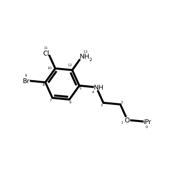 CC(C)OCCNc1ccc(Br)c(Cl)c1N